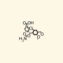 COc1cc(C(OC(N)=O)[C@@H]2CCN(C(=O)O)C2)c(Cl)cc1C=O